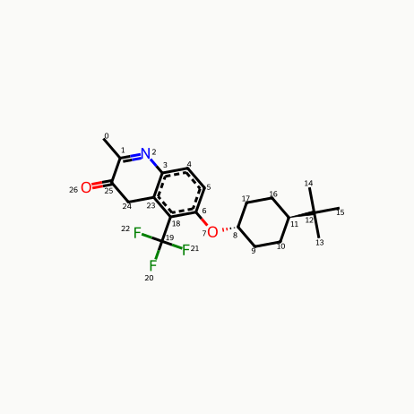 CC1=Nc2ccc(O[C@H]3CC[C@H](C(C)(C)C)CC3)c(C(F)(F)F)c2CC1=O